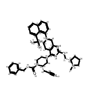 [2H]C([2H])([2H])c1cccc2cccc(N3CCc4c(nc(OC[C@@H]5CCCN5C)nc4N4CCN(C(=O)OCc5ccccc5)[C@@H](CC#N)C4)C3)c12